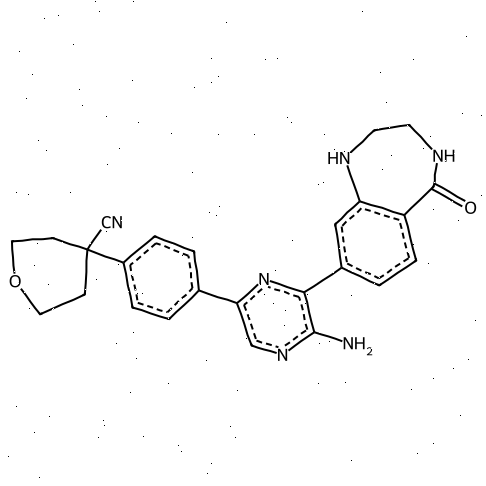 N#CC1(c2ccc(-c3cnc(N)c(-c4ccc5c(c4)NCCNC5=O)n3)cc2)CCOCC1